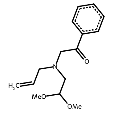 C=CCN(CC(=O)c1ccccc1)CC(OC)OC